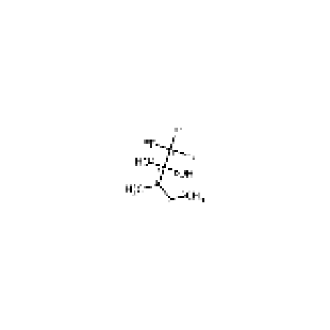 CCC(C)C(O)(O)C(F)(F)F